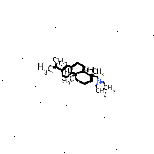 CCN(CC)C[C@]1(C)CCC[C@]2(C)[C@H]3CCC(C(C)C)=CC3=CC[C@@H]12